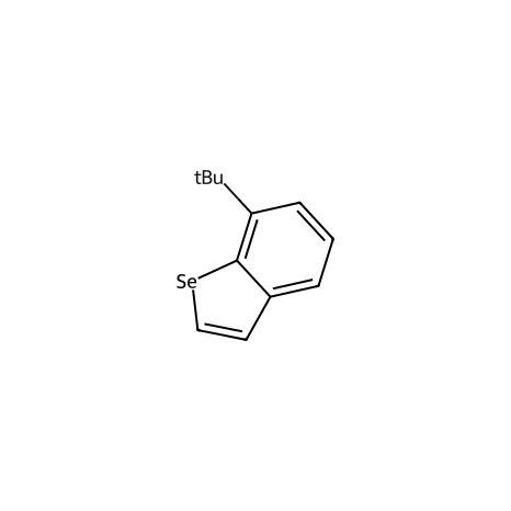 CC(C)(C)c1cccc2cc[se]c12